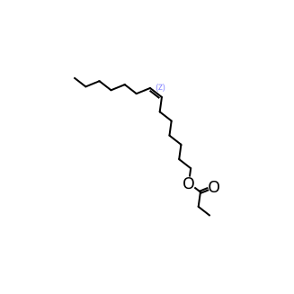 CCCCCC/C=C\CCCCCCOC(=O)CC